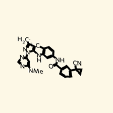 [CH2]c1cc(Nc2cc(NC(=O)c3cccc(C4(C#N)CC4)c3)ccc2C)n(-c2cc(NC)ncn2)n1